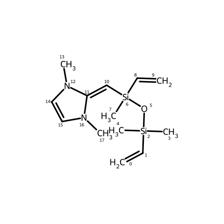 C=C[Si](C)(C)O[Si](C)(C=C)C=C1N(C)C=CN1C